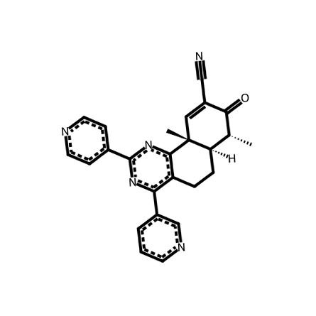 C[C@H]1C(=O)C(C#N)=C[C@@]2(C)c3nc(-c4ccncc4)nc(-c4cccnc4)c3CC[C@H]12